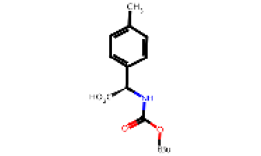 Cc1ccc([C@@H](NC(=O)OC(C)(C)C)C(=O)O)cc1